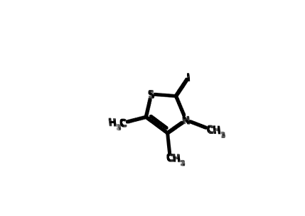 CC1=C(C)N(C)C(I)S1